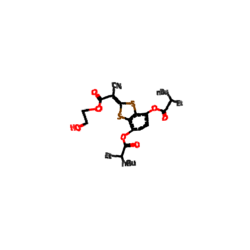 CCCCC(CC)C(=O)Oc1ccc(OC(=O)C(CC)CCCC)c2c1SC(=C(C#N)C(=O)OCCO)S2